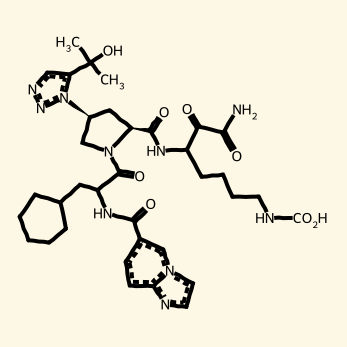 CC(C)(O)c1cnnn1[C@H]1C[C@@H](C(=O)NC(CCCCNC(=O)O)C(=O)C(N)=O)N(C(=O)C(CC2CCCCC2)NC(=O)c2ccc3nccn3c2)C1